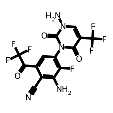 N#Cc1c(C(=O)C(F)(F)F)cc(-n2c(=O)c(C(F)(F)F)cn(N)c2=O)c(F)c1N